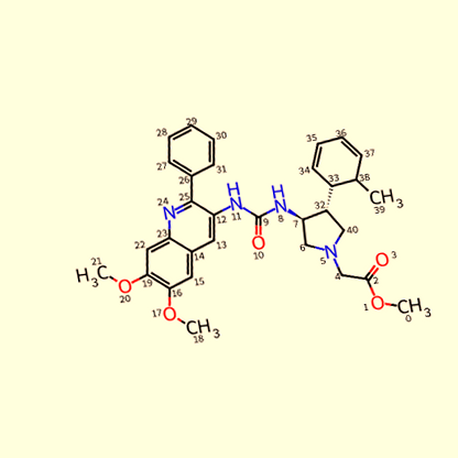 COC(=O)CN1C[C@@H](NC(=O)Nc2cc3cc(OC)c(OC)cc3nc2-c2ccccc2)[C@H](C2C=CC=CC2C)C1